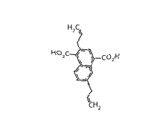 C=CCc1ccc2c(C(=O)O)c(CC=C)cc(C(=O)O)c2c1